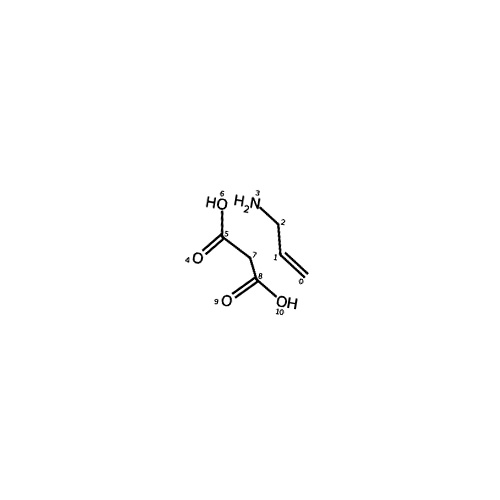 C=CCN.O=C(O)CC(=O)O